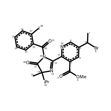 COC(=O)c1cc(C(C)Br)cnc1C1=NC(C)(C(C)C)C(=O)N1C(=O)c1ccccc1I